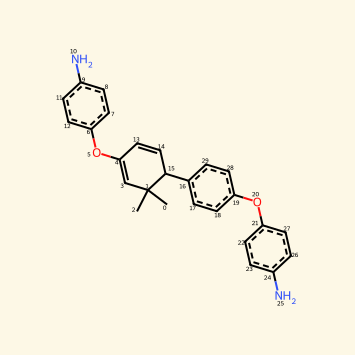 CC1(C)C=C(Oc2ccc(N)cc2)C=CC1c1ccc(Oc2ccc(N)cc2)cc1